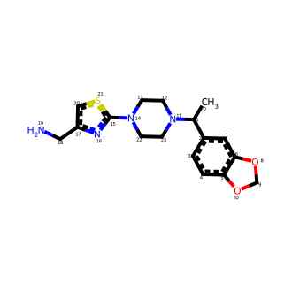 CC(c1ccc2c(c1)OCO2)N1CCN(c2nc(CN)cs2)CC1